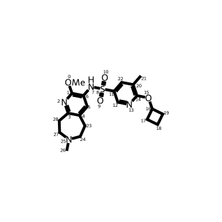 COc1nc2c(cc1NS(=O)(=O)c1cnc(OC3CCC3)c(C)c1)CCN(C)CC2